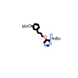 CCCCNc1ncncc1OCCCc1cccc(OC)c1